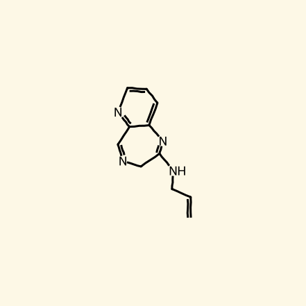 C=CCNC1=Nc2cccnc2C=NC1